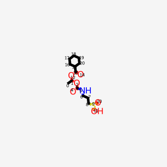 CC(OC(=O)NCCCS(=O)O)OC(=O)C1CCCCC1